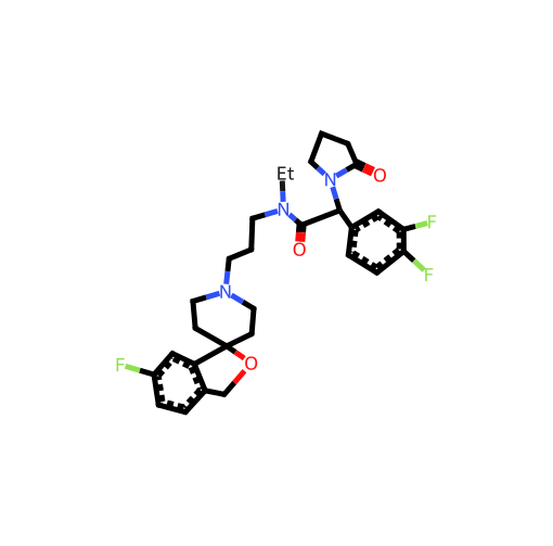 CCN(CCCN1CCC2(CC1)OCc1ccc(F)cc12)C(=O)C(c1ccc(F)c(F)c1)N1CCCC1=O